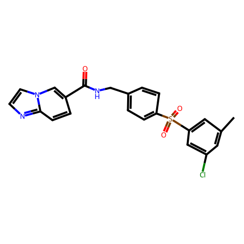 Cc1cc(Cl)cc(S(=O)(=O)c2ccc(CNC(=O)c3ccc4nccn4c3)cc2)c1